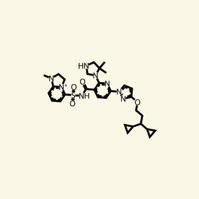 CN1CC[n+]2c1cccc2S(=O)(=O)NC(=O)c1ccc(-n2ccc(OCCC(C3CC3)C3CC3)n2)nc1N1CNCC1(C)C